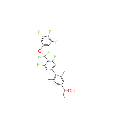 CCC(O)c1cc(C)c(-c2cc(F)c(C(F)(F)Oc3cc(F)c(F)c(F)c3)c(F)c2)c(C)c1